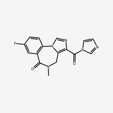 CN1Cc2c(C(=O)n3ccnc3)ncn2-c2ccc(F)cc2C1=O